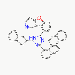 c1ccc2cc(C3N=C(c4cccc5ccc6c7ccccc7ccc6c45)N=C(c4cccc5oc6ccncc6c45)N3)ccc2c1